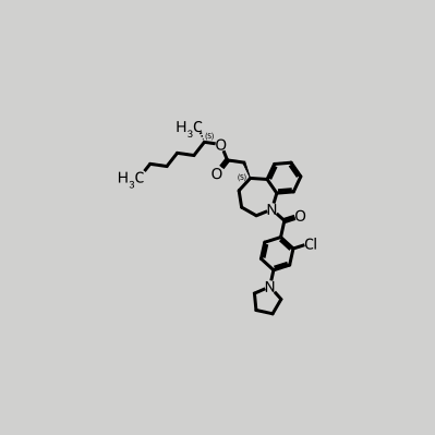 CCCCC[C@H](C)OC(=O)C[C@@H]1CCCN(C(=O)c2ccc(N3CCCC3)cc2Cl)c2ccccc21